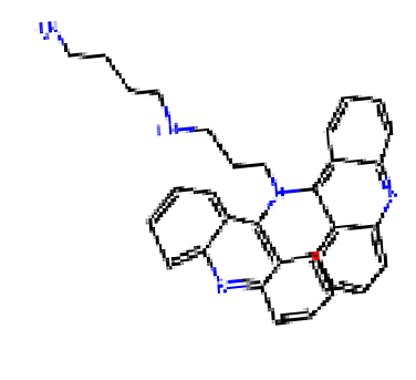 NCCCCNCCCN(c1c2ccccc2nc2ccccc12)c1c2ccccc2nc2ccccc12